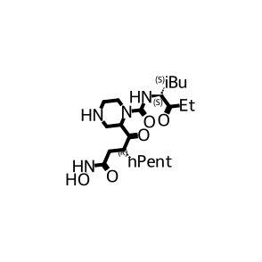 CCCCC[C@H](CC(=O)NO)C(=O)C1CNCCN1C(=O)N[C@H](C(=O)CC)[C@@H](C)CC